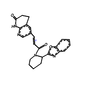 O=C1CCc2cc(/C=C/C(=O)N3CCCCC3c3nc4ccccc4o3)cnc2N1